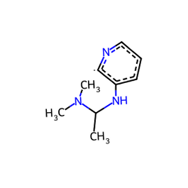 CC(Nc1[c]nccc1)N(C)C